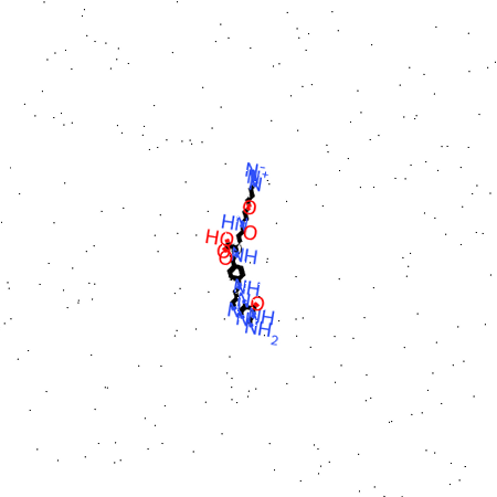 [N-]=[N+]=NCCCOCCNC(=O)CC[C@H](NC(=O)c1ccc(NCc2cnc3nc(N)[nH]c(=O)c3n2)cc1)C(=O)O